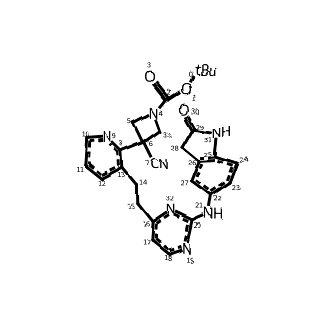 CC(C)(C)OC(=O)N1CC(C#N)(c2ncccc2CCc2ccnc(Nc3ccc4c(c3)CC(=O)N4)n2)C1